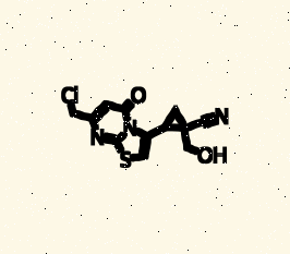 N#CC1(CO)CC1c1csc2nc(CCl)cc(=O)n12